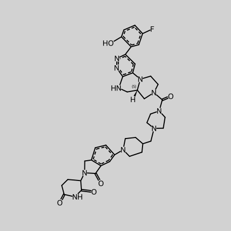 O=C1CCC(N2Cc3ccc(N4CCC(CN5CCN(C(=O)N6CCN7c8cc(-c9cc(F)ccc9O)nnc8NC[C@H]7C6)CC5)CC4)cc3C2=O)C(=O)N1